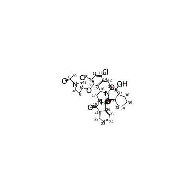 CC(=O)N1CCC(Oc2c(Cl)cc(Cl)c3c2C(CN2C(=O)c4ccccc4C2=O)N(C(=O)C2CCCCC2C(=O)O)CC3)C1